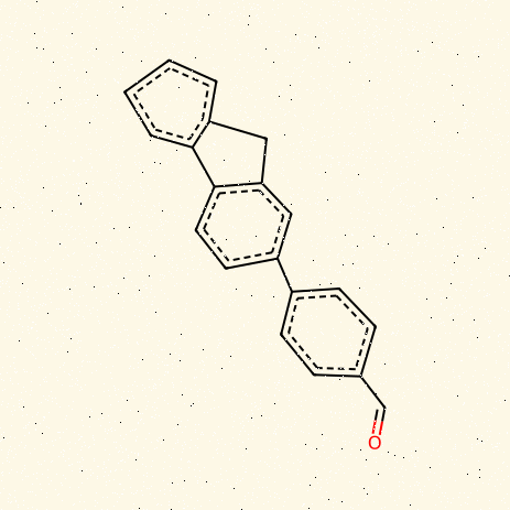 O=Cc1ccc(-c2ccc3c(c2)Cc2ccccc2-3)cc1